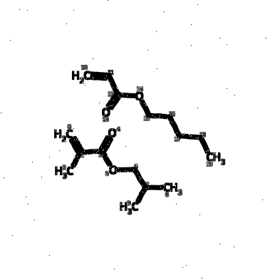 C=C(C)C(=O)OCC(C)C.C=CC(=O)OCCCCC